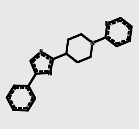 c1ccc(-c2csc(C3CCN(c4ccccn4)CC3)n2)cc1